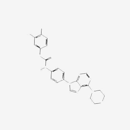 O=C(Nc1ccc(Cl)c(C(F)(F)F)c1)N(O)c1ccc(-n2cnc3c(N4CCOCC4)ncnc32)cc1